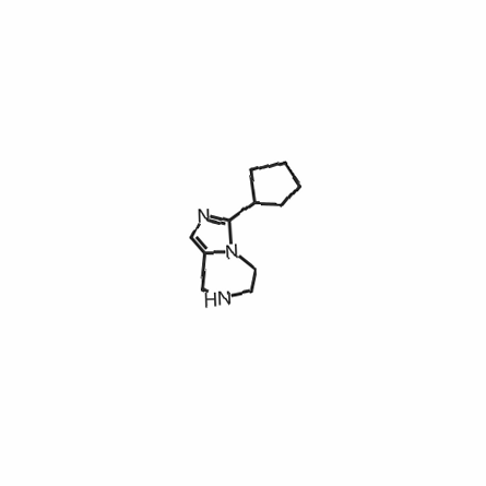 c1nc(C2CCCC2)n2c1CNCC2